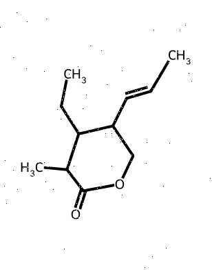 C/C=C/C1COC(=O)C(C)C1CC